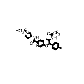 Cc1ccc(C(Oc2ccc(C(=O)N[C@@H]3CCN(C(=O)O)C3)nc2)C(C)NC(=O)C(F)(F)F)cc1